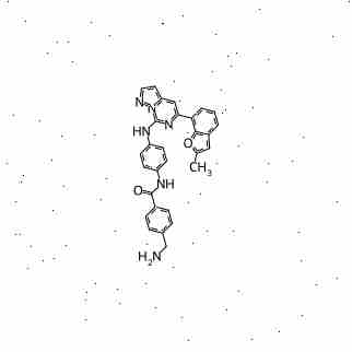 Cc1cc2cccc(-c3cc4ccnn4c(Nc4ccc(NC(=O)c5ccc(CN)cc5)cc4)n3)c2o1